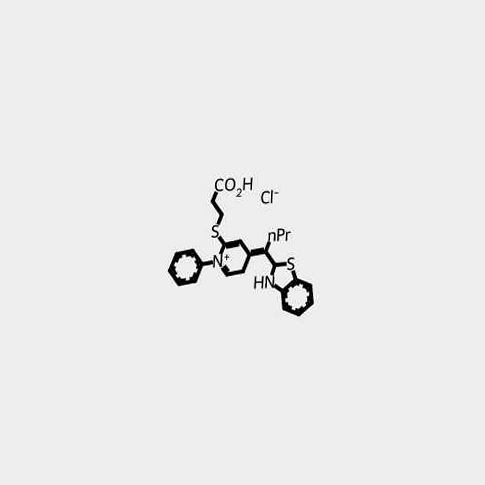 CCCC(=C1C=C(SCCC(=O)O)[N+](c2ccccc2)=CC1)C1Nc2ccccc2S1.[Cl-]